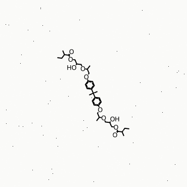 CCC(C)C(=O)OCC(O)COC(C)COc1ccc(C(C)(C)c2ccc(OCC(C)OCC(O)COC(=O)C(C)CC)cc2)cc1